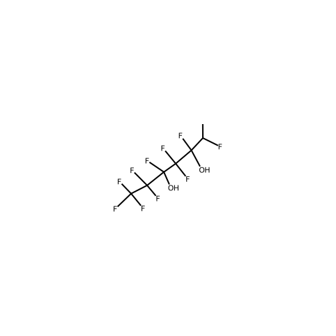 CC(F)C(O)(F)C(F)(F)C(O)(F)C(F)(F)C(F)(F)F